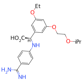 CCOc1cc(OCCOC(C)C)cc([C@@H](Nc2ccc(C(=N)N)cc2)C(=O)O)c1